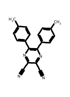 Cc1ccc(-c2nc(C#N)c(C#N)nc2-c2ccc(C)cc2)cc1